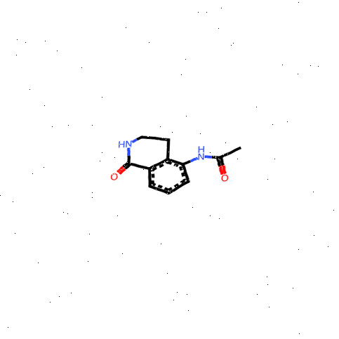 CC(=O)Nc1cccc2c1CCNC2=O